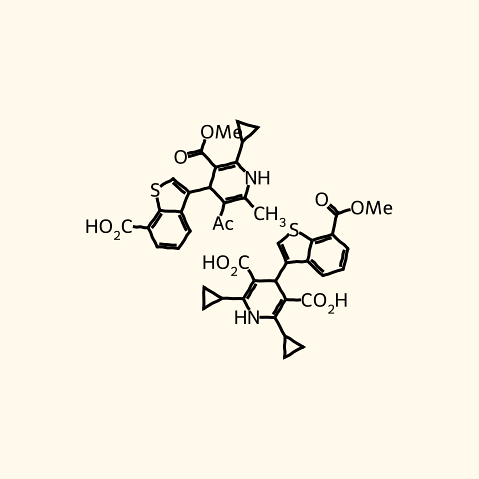 COC(=O)C1=C(C2CC2)NC(C)=C(C(C)=O)C1c1csc2c(C(=O)O)cccc12.COC(=O)c1cccc2c(C3C(C(=O)O)=C(C4CC4)NC(C4CC4)=C3C(=O)O)csc12